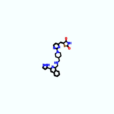 O=C1NC(=O)C(=Cc2ccnc(N3CCC(CNCc4nc(-c5ccn[nH]5)cc5ccccc45)CC3)n2)S1